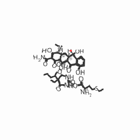 CCCC(C)C1(CC)C(=O)NC(=O)NC1=O.CCSCC[C@H](N)C(=O)O.CN(C)[C@@H]1C(O)=C(C(N)=O)C(=O)[C@@]2(O)C(O)=C3C(=O)c4c(O)cccc4[C@@](C)(O)[C@H]3C[C@@H]12